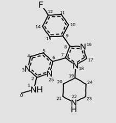 CNc1nccc(-c2c(-c3ccc(F)cc3)ncn2C2CCNCC2)n1